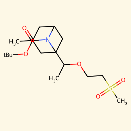 CC1CC2CC(C(C)OCCS(C)(=O)=O)(C1)N2C(=O)OC(C)(C)C